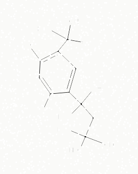 Cc1cc(O)c(C(C)(C)C)cc1C(C)(C)CC(C)(C)C